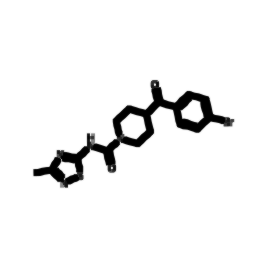 Cc1nsc(NC(=O)N2CCC(C(=O)c3ccc(Br)cc3)CC2)n1